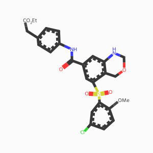 CCOC(=O)Cc1ccc(NC(=O)c2cc3c(c(S(=O)(=O)c4cc(Cl)ccc4OC)c2)COCN3)cc1